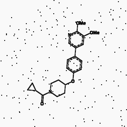 COc1cc(-c2ccc(OC3CCN(C(=O)C4CC4)CC3)cc2)cnc1OC